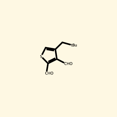 CC(C)(C)Cc1csc(C=O)c1C=O